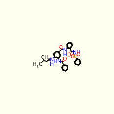 CC(C)CCNc1ccc(C(=O)Nc2ccccc2C(=O)NS(=O)(=O)c2ccccc2)cc1NC(=O)c1ccccc1